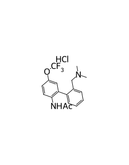 CC(=O)Nc1ccc(OC(F)(F)F)cc1-c1ccccc1CN(C)C.Cl